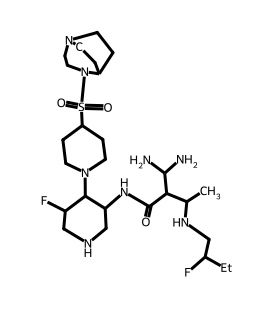 CCC(F)CNC(C)C(C(=O)NC1CNCC(F)C1N1CCC(S(=O)(=O)N2CCN3CCC2CC3)CC1)C(N)N